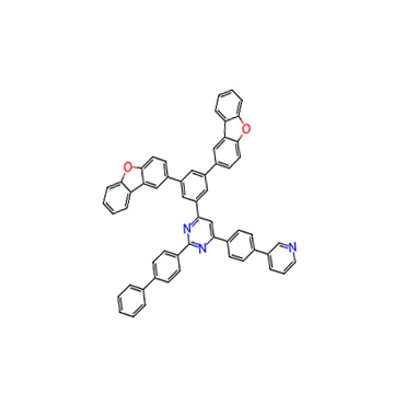 c1ccc(-c2ccc(-c3nc(-c4ccc(-c5cccnc5)cc4)cc(-c4cc(-c5ccc6oc7ccccc7c6c5)cc(-c5ccc6oc7ccccc7c6c5)c4)n3)cc2)cc1